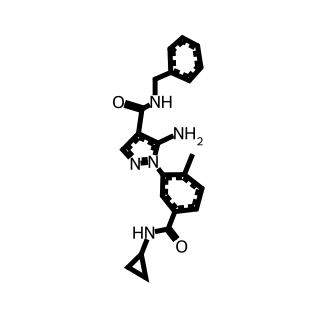 Cc1ccc(C(=O)NC2CC2)cc1-n1ncc(C(=O)NCc2ccccc2)c1N